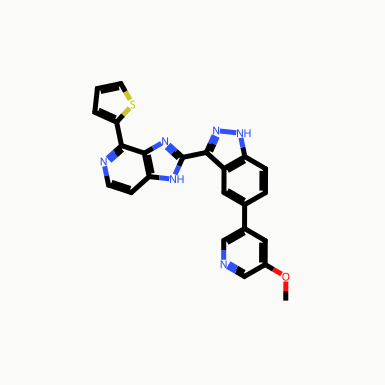 COc1cncc(-c2ccc3[nH]nc(-c4nc5c(-c6cccs6)nccc5[nH]4)c3c2)c1